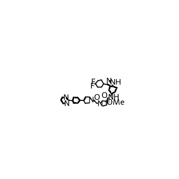 CO[C@@]1(C(=O)Nc2ccc3[nH]nc(C4CCC(F)(F)CC4)c3c2)CCN(CC(=O)N2CC=C(c3ccc(-c4ncccn4)cc3)CC2)C1